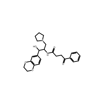 O=C(CCC(=O)c1ccccc1)NC(CN1CCCC1)C(O)c1ccc2c(c1)OCCO2